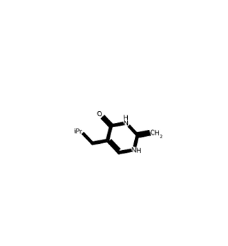 C=C1NC=C(CC(C)C)C(=O)N1